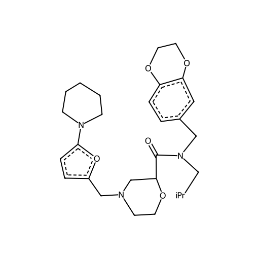 CC(C)CN(Cc1ccc2c(c1)OCCO2)C(=O)C1CN(Cc2ccc(N3CCCCC3)o2)CCO1